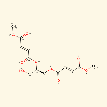 COC(=O)/C=C/C(=O)OC[C@@H](CO)OC(=O)/C=C/C(=O)OC